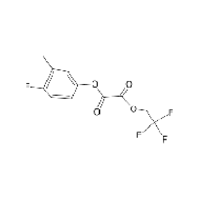 Cc1cc(OC(=O)C(=O)OCC(F)(F)F)ccc1F